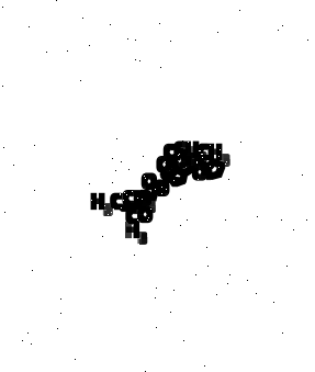 CCC1(OC(=O)C2C3CC4C(OC(C)(OC)C42)C3OC(=O)COC(=O)C(C)(C)CC)CCCC1